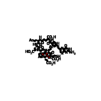 CC(=O)CC[C@H](NC(=O)CC[C@H](NC(=O)c1ccc(NCc2cnc3nc(N)[nH]c(=O)c3n2)cc1)C(=O)O)C(=O)N[C@@H](CCC(=O)O)C(=O)N[C@@H](CCC(C)=O)C(=O)N[C@@H](CCC(C)=O)C(=O)N[C@@H](CCC(=O)O)C(=O)N[C@@H](CCC(C)=O)C(=O)N[C@@H](CS)C(=O)O